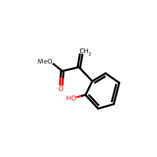 C=C(C(=O)OC)c1ccccc1O